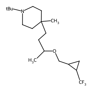 CC(CCC1(C)CCN(C(C)(C)C)CC1)OCC1CC1C(F)(F)F